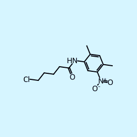 Cc1cc(C)c([N+](=O)[O-])cc1NC(=O)CCCCCl